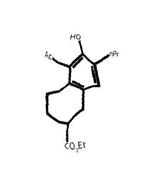 CCCc1cc2c(c(C(C)=O)c1O)CCC(C(=O)OCC)C2